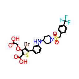 O=C(O)COc1c(C(=O)O)sc(-c2cccc(NC3CCN(S(=O)(=O)Cc4ccc(C(F)(F)F)cc4)CC3)c2)c1Br